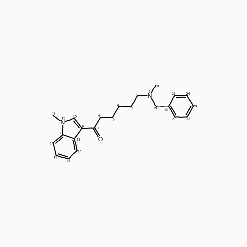 CN(CCCCCC(=O)c1cn(C)c2ccccc12)Cc1ccccc1